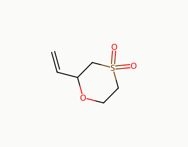 C=CC1CS(=O)(=O)CCO1